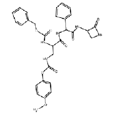 COc1ccc(OC(=O)NCC(NC(=O)OCc2ccccc2)C(=O)NC(C(=O)NC2CNC2=O)c2ccccc2)cc1